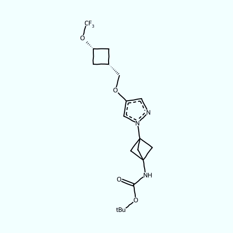 CC(C)(C)OC(=O)NC12CC(n3cc(OC[C@H]4C[C@@H](OC(F)(F)F)C4)cn3)(C1)C2